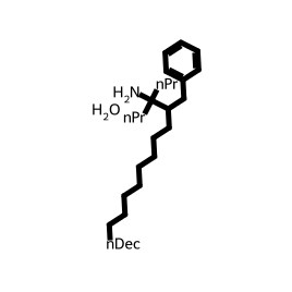 CCCCCCCCCCCCCCCCCCC(Cc1ccccc1)C(N)(CCC)CCC.O